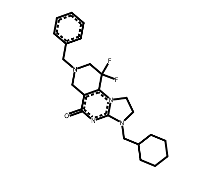 O=c1nc2n(c3c1CN(Cc1ccccc1)CC3(F)F)CCN2CC1CCCCC1